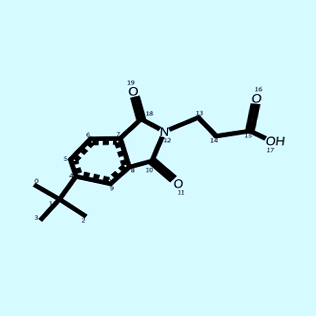 CC(C)(C)c1ccc2c(c1)C(=O)N(CCC(=O)O)C2=O